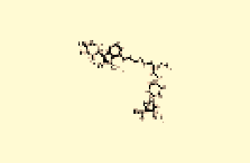 CN(CCOCCCc1cccc2c1n(C)c(=O)n2C1CCC(=O)NC1=O)CC[C@H]1CC[C@H](n2cc(N)c(C(F)F)n2)CC1